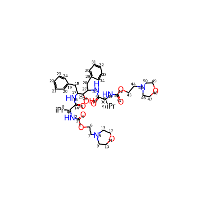 CC(C)[C@H](NC(=O)OCCN1CCOCC1)C(=O)NC(Cc1ccccc1)C(O)C(Cc1ccccc1)NC(=O)[C@@H](NC(=O)OCCN1CCOCC1)C(C)C